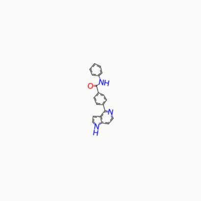 O=C(Nc1ccccc1)c1ccc(-c2nccc3[nH]ccc23)cc1